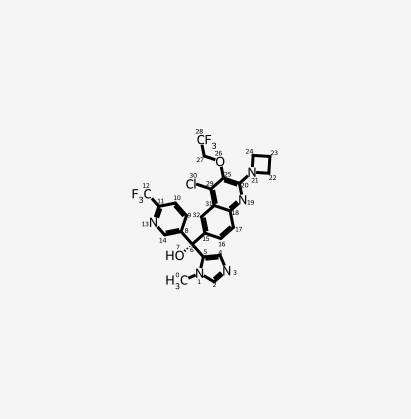 Cn1cncc1[C@@](O)(c1ccc(C(F)(F)F)nc1)c1ccc2nc(N3CCC3)c(OCC(F)(F)F)c(Cl)c2c1